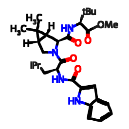 COC(=O)[C@@H](NC(=O)[C@@H]1[C@@H]2[C@H](CN1C(=O)[C@H](CC(C)C)NC(=O)c1cc3ccccc3[nH]1)C2(C)C)C(C)(C)C